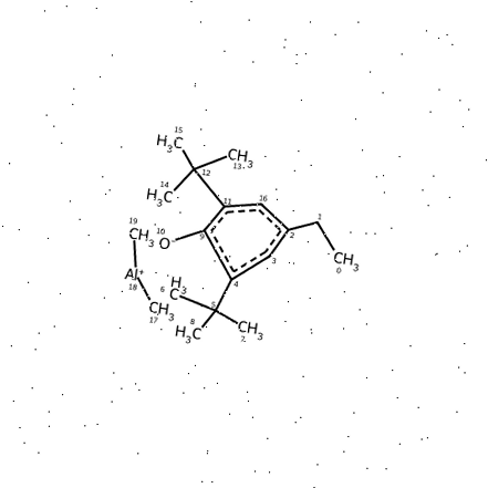 CCc1cc(C(C)(C)C)c([O-])c(C(C)(C)C)c1.[CH3][Al+][CH3]